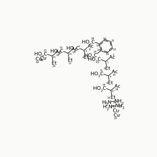 CCC(C(C)=O)C(=O)O.CCC(C(C)=O)C(=O)O.CCC(C(C)=O)C(=O)O.CCC(C(C)=O)C(=O)O.CCC(C(C)=O)C(=O)O.CCC(C(C)=O)C(=O)O.NN.NN.O=C(O)c1ccccc1C(=O)O.[Cu].[Cu].[Cu].[Cu]